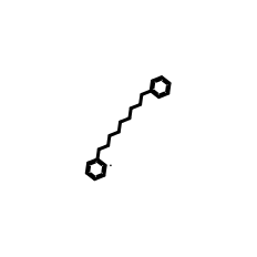 [c]1ccccc1CCCCCCCCCc1ccccc1